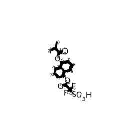 CC(I)C(=O)Oc1cccc2c(OC(=O)C(F)(F)S(=O)(=O)O)cccc12